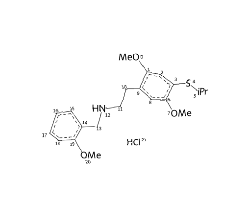 COc1cc(SC(C)C)c(OC)cc1CCNCc1ccccc1OC.Cl